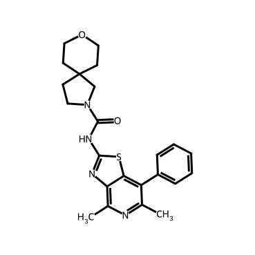 Cc1nc(C)c2nc(NC(=O)N3CCC4(CCOCC4)C3)sc2c1-c1ccccc1